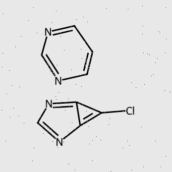 Clc1c2ncnc1-2.c1cncnc1